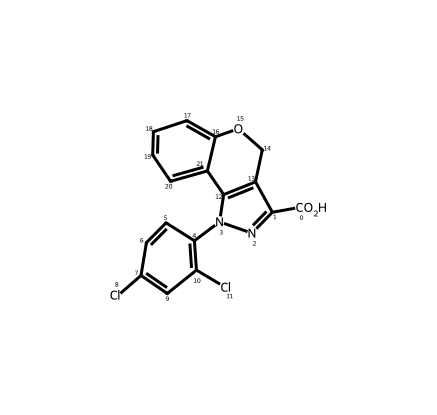 O=C(O)c1nn(-c2ccc(Cl)cc2Cl)c2c1COc1ccccc1-2